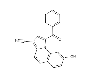 N#Cc1cc(C(=O)c2ccccc2)n2c1ccc1ccc(O)cc12